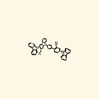 N#Cc1cc(-n2c3ccccc3c3ccccc32)ccc1-c1ccc(-n2c3ccccc3c3cc(-n4c5ccccc5c5ccccc54)c(C#N)cc32)cc1